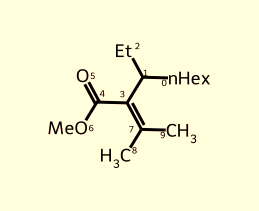 CCCCCCC(CC)C(C(=O)OC)=C(C)C